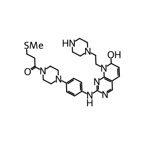 CSCCC(=O)N1CCN(c2ccc(Nc3ncc4c(n3)N(CCN3CCNCC3)C(O)C=C4)cc2)CC1